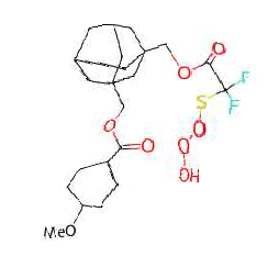 COC1CCC(C(=O)OCC23CC4CC(C2)CC(COC(=O)C(F)(F)SOOO)(C4)C3)CC1